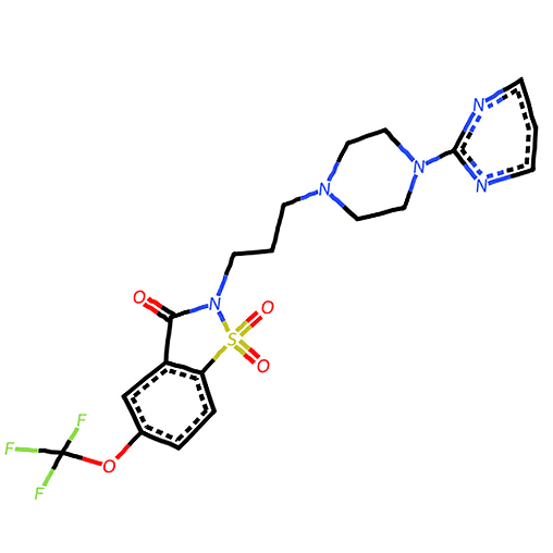 O=C1c2cc(OC(F)(F)F)ccc2S(=O)(=O)N1CCCN1CCN(c2ncccn2)CC1